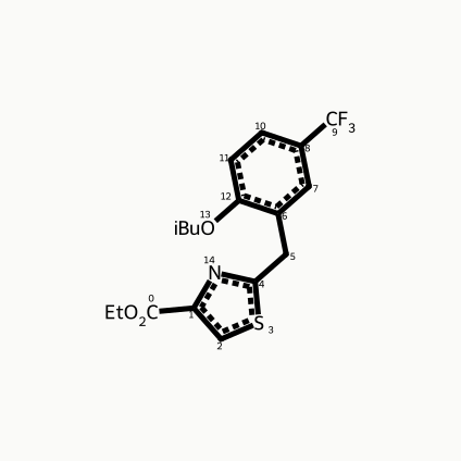 CCOC(=O)c1csc(Cc2cc(C(F)(F)F)ccc2OCC(C)C)n1